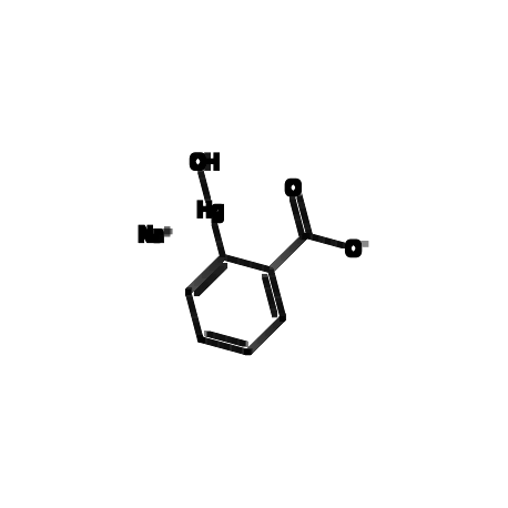 O=C([O-])c1cccc[c]1[Hg][OH].[Na+]